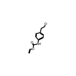 C=COC(=O)Nc1ccc(CC[O])cc1